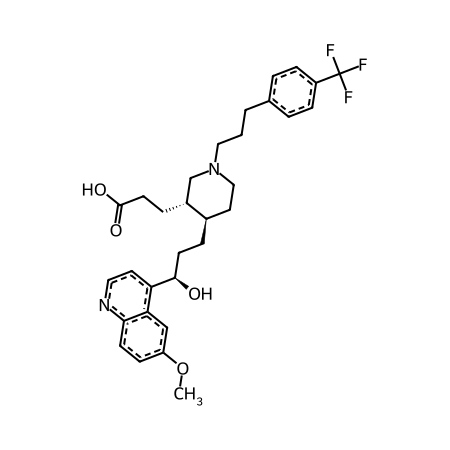 COc1ccc2nccc([C@H](O)CC[C@@H]3CCN(CCCc4ccc(C(F)(F)F)cc4)C[C@H]3CCC(=O)O)c2c1